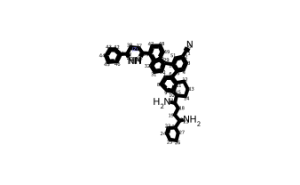 N#Cc1ccc(-c2cccc3c2CCCC3C(N)CCC(N)C2C=CCCC2)c(-c2cccc3c(C(=N)/C=C\C(=N)c4ccccc4)cccc23)c1